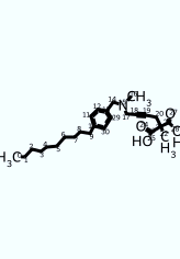 CCCCCCCCCCc1ccc(CN(C)CC#CCC(C)(C(=O)O)C(=O)O)cc1